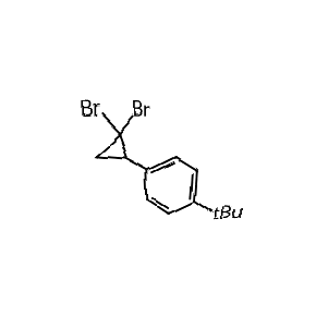 CC(C)(C)c1ccc(C2CC2(Br)Br)cc1